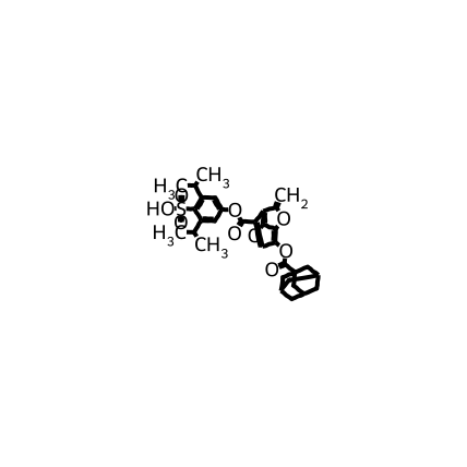 C=c1oc2c(OC(=O)C34CC5CC(CC(C5)C3)C4)c3oc2c1c3C(=O)Oc1cc(C(C)C)c(S(=O)(=O)O)c(C(C)C)c1